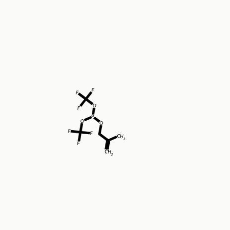 C=C(C)COP(OC(F)(F)F)OC(F)(F)F